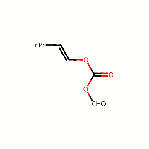 CCCC=COC(=O)OC=O